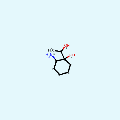 CC(O)C1(O)CCCCC1N